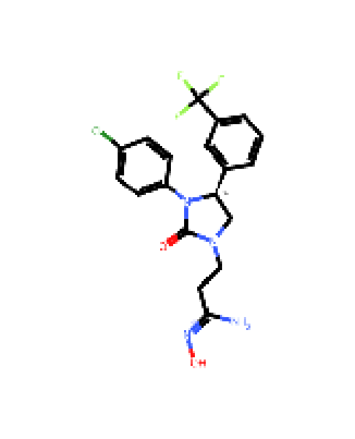 N/C(CCN1C[C@H](c2cccc(C(F)(F)F)c2)N(c2ccc(Cl)cc2)C1=O)=N\O